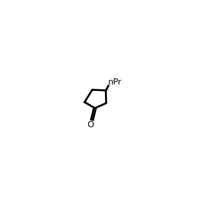 CCC[C]1CCC(=O)C1